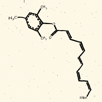 CCCCCCCCC\C=C/C=C\C=C\C=C/C=C/C(=O)Oc1c(C)cc(C)cc1C